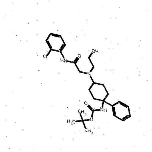 CC(C)(C)OC(=O)NC1(c2ccccc2)CCC(N(CCO)CC(=O)Nc2ccccc2Cl)CC1